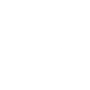 OCC1CCCCCCCCCCC1O